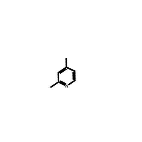 [CH2]c1cc(C)ccn1